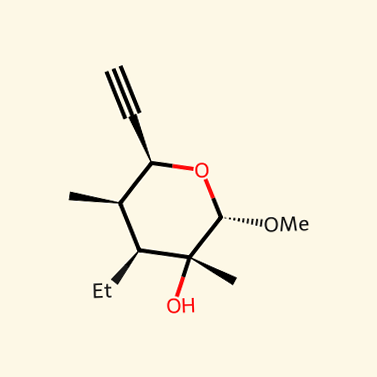 C#C[C@H]1O[C@H](OC)[C@](C)(O)[C@@H](CC)[C@H]1C